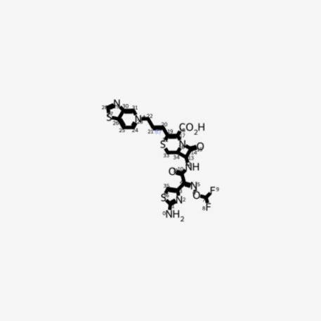 Nc1nc(C(=NOC(F)F)C(=O)NC2C(=O)N3C(C(=O)O)=C(/C=C/C[n+]4ccc5scnc5c4)SCC23)cs1